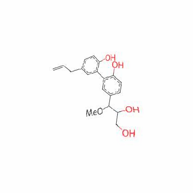 C=CCc1ccc(O)c(-c2cc(C(OC)C(O)CO)ccc2O)c1